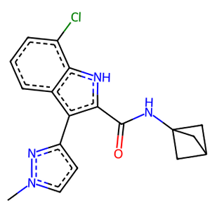 Cn1ccc(-c2c(C(=O)NC34CC(C3)C4)[nH]c3c(Cl)cccc23)n1